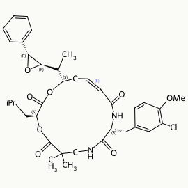 COc1ccc(C[C@H]2NC(=O)/C=C/C[C@@H](C(C)[C@H]3O[C@@H]3c3ccccc3)OC(=O)[C@H](CC(C)C)OC(=O)C(C)(C)CNC2=O)cc1Cl